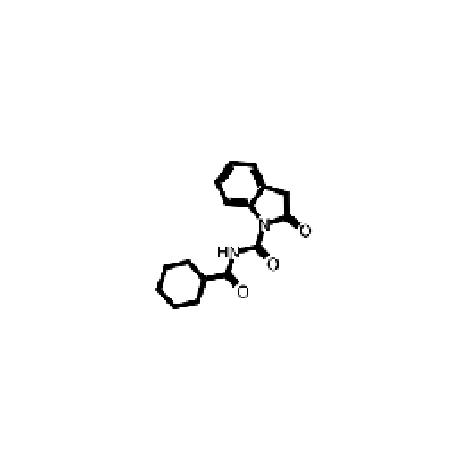 O=C(NC(=O)N1C(=O)Cc2ccccc21)C1CCCCC1